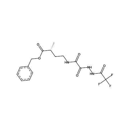 C[C@H](CCNC(=O)C(=O)NNC(=O)C(F)(F)F)C(=O)OCc1ccccc1